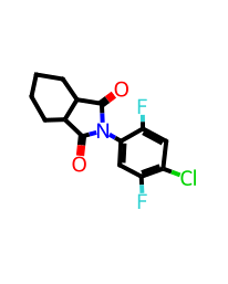 O=C1C2CCCCC2C(=O)N1c1cc(F)c(Cl)cc1F